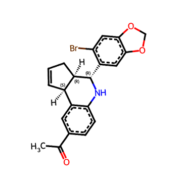 CC(=O)c1ccc2c(c1)[C@H]1C=CC[C@H]1[C@H](c1cc3c(cc1Br)OCO3)N2